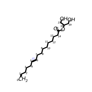 C=CCCC/C=C/CCCCCCCCC(=O)OC(CO)CO